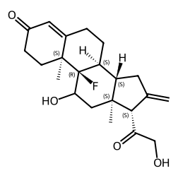 C=C1C[C@H]2[C@@H]3CCC4=CC(=O)CC[C@]4(C)[C@@]3(F)C(O)C[C@]2(C)[C@H]1C(=O)CO